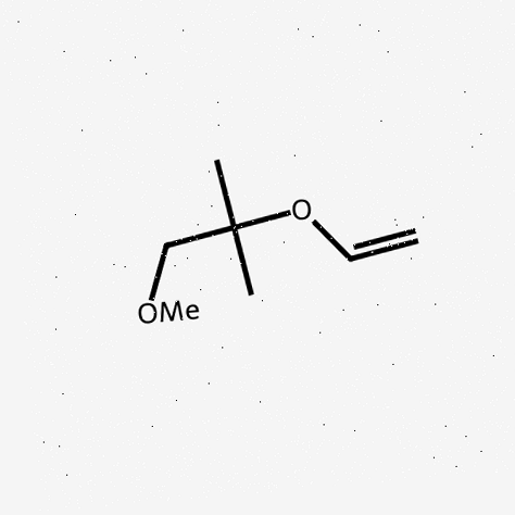 C=COC(C)(C)COC